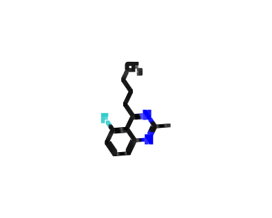 Cc1nc(CCCC(F)(F)F)c2c(F)cccc2n1